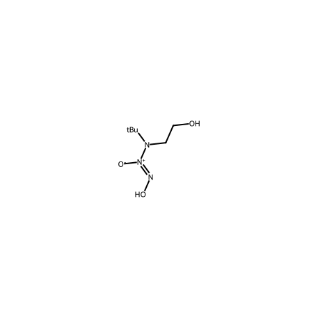 CC(C)(C)N(CCO)/[N+]([O-])=N/O